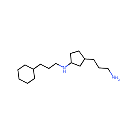 NCCCC1CCC(NCCCC2CCCCC2)C1